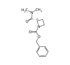 CN(C)C(=O)[C@@H]1CCN1C(=O)OCc1ccccc1